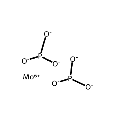 [Mo+6].[O-]P([O-])[O-].[O-]P([O-])[O-]